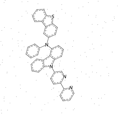 c1ccc(N(c2ccc3sc4ccccc4c3c2)c2cccc3c2c2ccccc2n3-c2ccc(-c3ccccn3)nc2)cc1